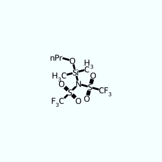 CCCO[Si](C)(C)N(S(=O)(=O)C(F)(F)F)S(=O)(=O)C(F)(F)F